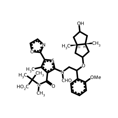 COc1ccccc1C(CN(C=O)c1sc(-c2ncco2)c(C)c1C(=O)N(C)C(C)(C)C(=O)O)OC1C[C@]2(C)CC(O)C[C@]2(C)C1